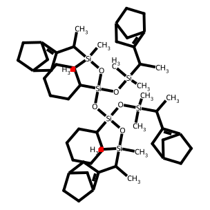 CC(C1=C2CCC(C2)C1)[Si](C)(C)O[Si](O[Si](C)(C)C(C)C1=C2CCC(C2)C1)(O[Si](O[Si](C)(C)C(C)C1=C2CCC(C2)C1)(O[Si](C)(C)C(C)C1=C2CCC(C2)C1)C1CCCCC1)C1CCCCC1